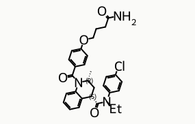 CCN(C(=O)[C@H]1C[C@@H](C)N(C(=O)c2ccc(OCCCC(N)=O)cc2)c2ccccc21)c1ccc(Cl)cc1